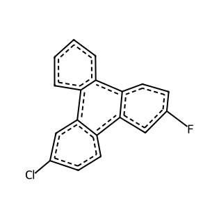 Fc1ccc2c3ccccc3c3cc(Cl)ccc3c2c1